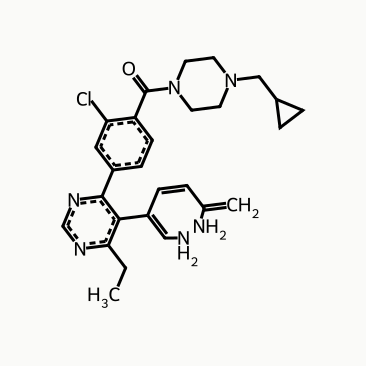 C=C(N)/C=C\C(=C/N)c1c(CC)ncnc1-c1ccc(C(=O)N2CCN(CC3CC3)CC2)c(Cl)c1